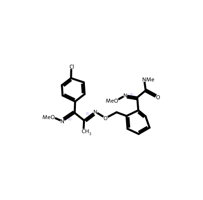 CNC(=O)/C(=N/OC)c1ccccc1CO/N=C(C)/C(=N/OC)c1ccc(Cl)cc1